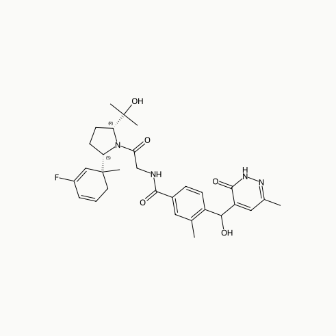 Cc1cc(C(O)c2ccc(C(=O)NCC(=O)N3[C@H](C4(C)C=C(F)C=CC4)CC[C@@H]3C(C)(C)O)cc2C)c(=O)[nH]n1